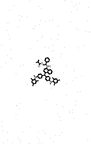 C=C(C)C(=O)OCC(Nc1ccc(C(c2ccc(N(C)c3c(C)cc(C)cc3C)cc2)c2ccc(N(C)c3c(C)cc(C)cc3C)cc2)c2ccccc12)c1ccccc1